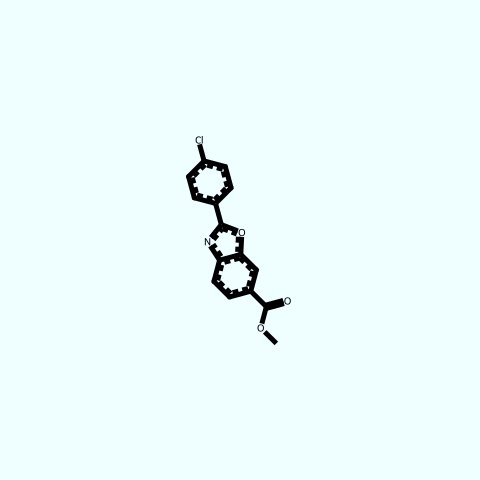 COC(=O)c1ccc2nc(-c3ccc(Cl)cc3)oc2c1